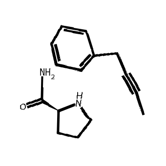 CC#CCc1ccccc1.NC(=O)[C@@H]1CCCN1